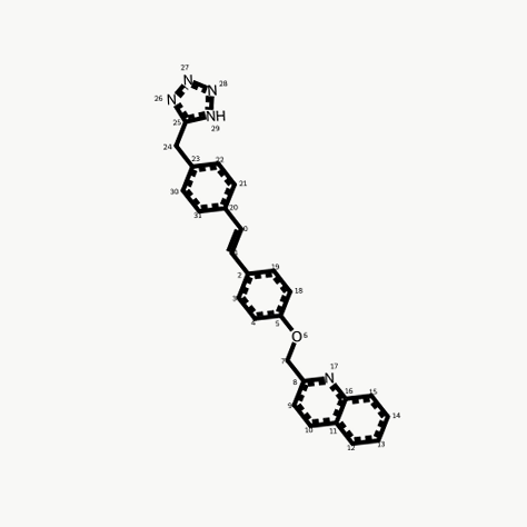 C(=Cc1ccc(OCc2ccc3ccccc3n2)cc1)c1ccc(Cc2nnn[nH]2)cc1